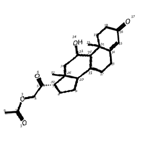 CC(=O)OCC(=O)[C@H]1CCC2C3CCC4=CC(=O)CCC4(C)C3C(O)CC21C